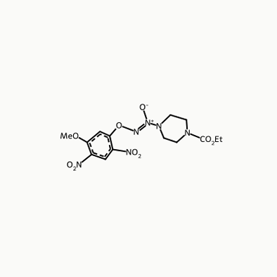 CCOC(=O)N1CCN(/[N+]([O-])=N/Oc2cc(OC)c([N+](=O)[O-])cc2[N+](=O)[O-])CC1